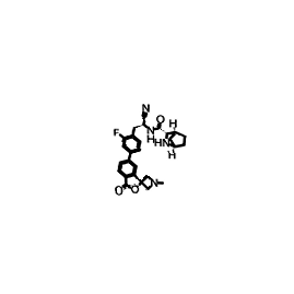 CN1CC2(C1)OC(=O)c1ccc(-c3ccc(C[C@@H](C#N)NC(=O)[C@H]4N[C@@H]5CC[C@H]4C5)c(F)c3)cc12